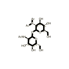 CC(=O)N[C@H]1C(OC2O[C@H](CO)[C@@H](O)[C@H](O)[C@H]2N(C(C)=O)C(C)=O)O[C@H](CO)[C@@H](O)[C@@H]1O